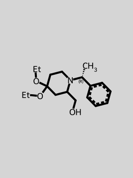 CCOC1(OCC)CCN([C@H](C)c2ccccc2)C(CO)C1